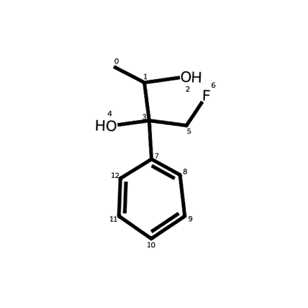 CC(O)C(O)(CF)c1ccccc1